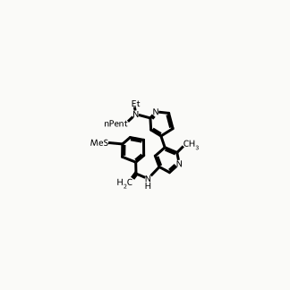 C=C(Nc1cnc(C)c(-c2ccnc(N(CC)CCCCC)c2)c1)c1cccc(SC)c1